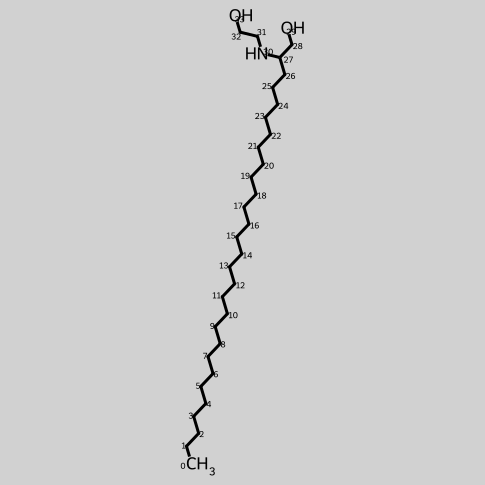 CCCCCCCCCCCCCCCCCCCCCCCCCCCC(CO)NCCO